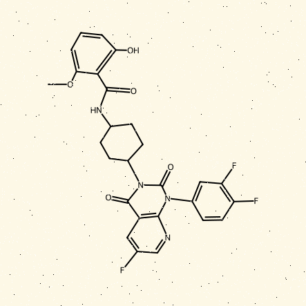 COc1cccc(O)c1C(=O)NC1CCC(n2c(=O)c3cc(F)cnc3n(-c3ccc(F)c(F)c3)c2=O)CC1